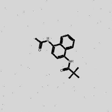 [CH2]C(=O)Nc1ccc(NC(=O)C(C)(C)C)c2ccccc12